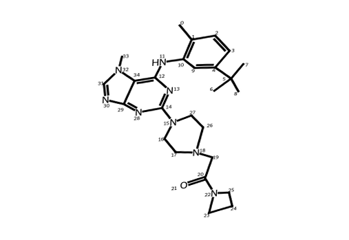 Cc1ccc(C(C)(C)C)cc1Nc1nc(N2CCN(CC(=O)N3CCC3)CC2)nc2ncn(C)c12